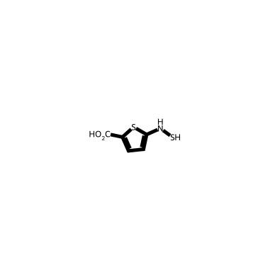 O=C(O)c1ccc(NS)s1